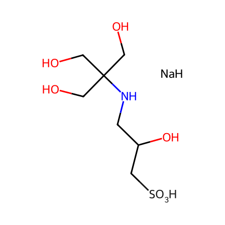 O=S(=O)(O)CC(O)CNC(CO)(CO)CO.[NaH]